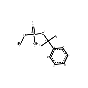 CC(C)OP(=O)(O)OC(C)(C)c1ccccc1